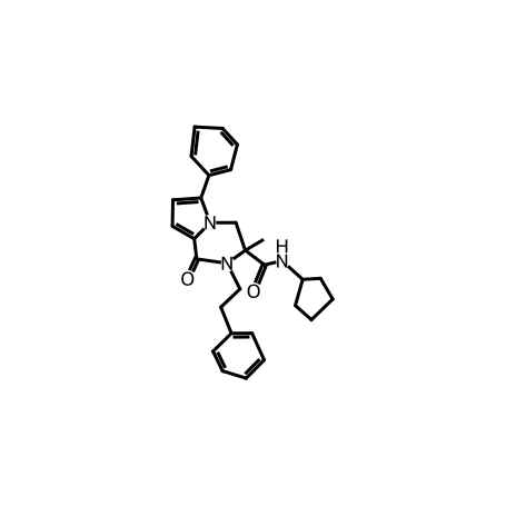 CC1(C(=O)NC2CCCC2)Cn2c(ccc2-c2ccccc2)C(=O)N1CCc1ccccc1